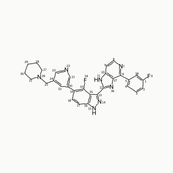 Fc1cccc(-c2nccc3[nH]c(-c4n[nH]c5ccc(-c6cncc(CN7CCCCC7)c6)c(F)c45)nc23)c1